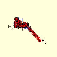 COCCOCCOCCOCCOCCOCCOCCOCCOCCOCCOCCOCCn1cc([C@H](CC(=O)N[C@H](C(=O)N(C(=O)Nc2ccc(COC(=O)N(CCOC34CC5(C)CC(C)(CC(Cn6ncc(-c7ccc(N8CCc9cccc(C(=O)Nc%10nc%11ccccc%11s%10)c9C8)nc7C(=O)O)c6C)(C5)C3)C4)CCS(=O)(=O)O)cc2)[C@@H](CCCN)C(N)=O)C(C)C)N2C(=O)C=CC2=O)nn1